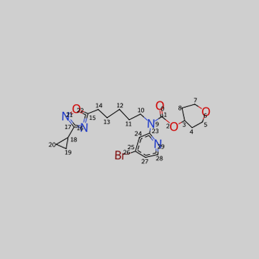 O=C(OC1CCOCC1)N(CCCCCc1nc(C2CC2)no1)c1cc(Br)ccn1